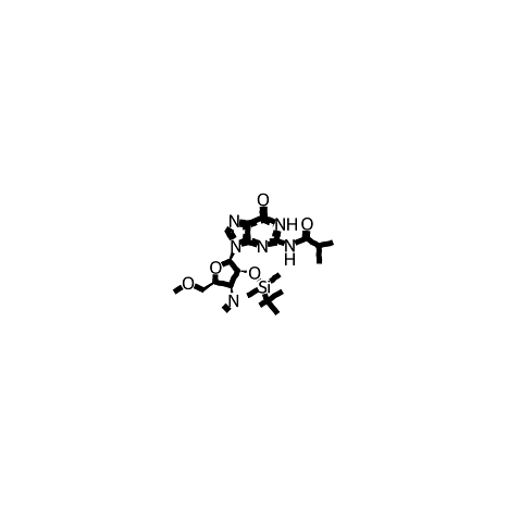 C=N[C@H]1[C@@H](O[Si](C)(C)C(C)(C)C)[C@H](n2cnc3c(=O)[nH]c(NC(=O)C(C)C)nc32)O[C@@H]1COC